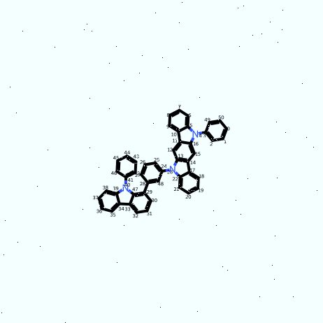 c1ccc(-n2c3ccccc3c3cc4c(cc32)c2ccccc2n4-c2cccc(-c3cccc4c5ccccc5n(-c5ccccc5)c34)c2)cc1